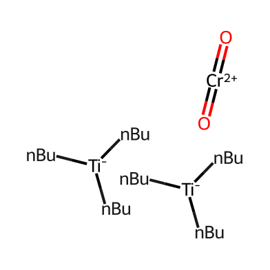 CCC[CH2][Ti-]([CH2]CCC)[CH2]CCC.CCC[CH2][Ti-]([CH2]CCC)[CH2]CCC.[O]=[Cr+2]=[O]